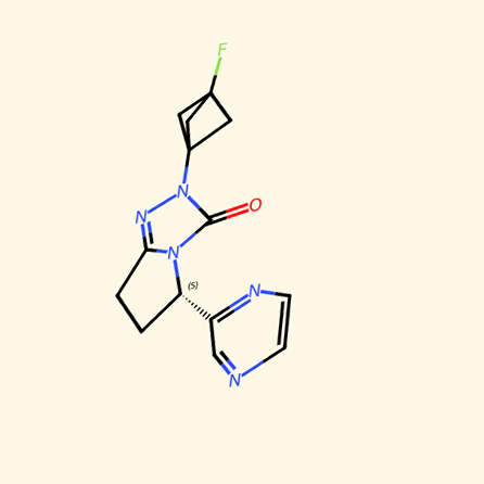 O=c1n(C23CC(F)(C2)C3)nc2n1[C@H](c1cnccn1)CC2